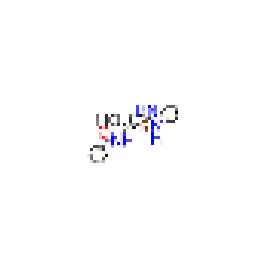 O=C(O)CC1(SCCCNC(=O)c2ccccc2)Nc2ccccc2N1